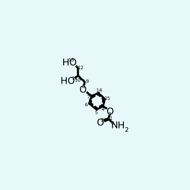 NC(=O)Oc1ccc(OCC(O)CO)cc1